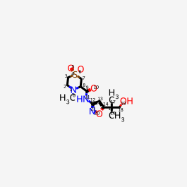 CN1CCS(=O)(=O)CC1C(=O)Nc1cc(C(C)(C)CO)on1